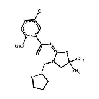 COc1ccc(Cl)cc1C(=O)N=C1SC(C)(C)CN1C[C@@H]1CCCO1